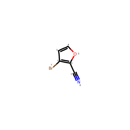 N#Cc1occc1Br